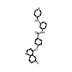 O=C(Nc1cccc(Nc2ccncc2)c1)c1ccc(Oc2ccnc3ccc(F)cc23)cc1